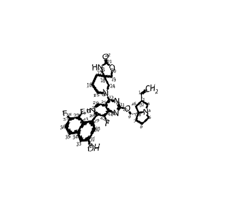 C=C[C@H]1CN2CCC[C@@]2(COc2nc(N3CCCC4(COC(=O)N4)C3)c3cnc(-c4cc(O)cc5ccc(F)c(CC)c45)c(F)c3n2)C1